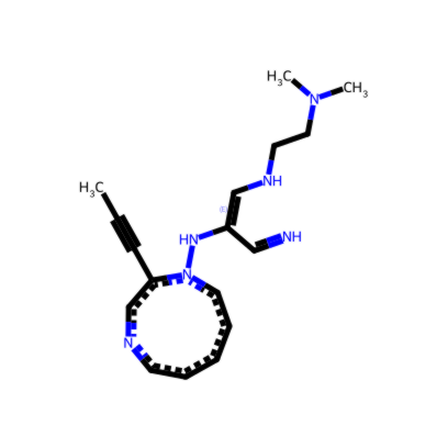 CC#Cc1cncccccn1N/C(C=N)=C/NCCN(C)C